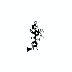 CC1(C)CC(C(=O)Nc2cnc(OC3CC3)c(Cl)c2)c2cnc3cc(Cl)nn3c21